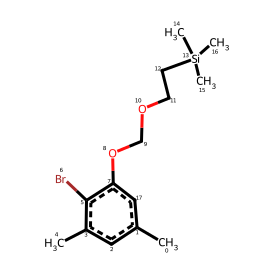 Cc1cc(C)c(Br)c(OCOCC[Si](C)(C)C)c1